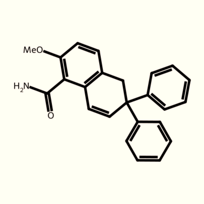 COc1ccc2c(c1C(N)=O)C=CC(c1ccccc1)(c1ccccc1)C2